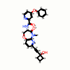 CN1C(=O)[C@@H](NC(=O)c2cc(Oc3ccccc3)ccn2)COc2ccc(C#CC3(O)CCC3)nc21